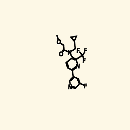 COCC(=O)N(CC1CC1)c1ccc(-c2cncc(F)c2)nc1C(F)(F)F